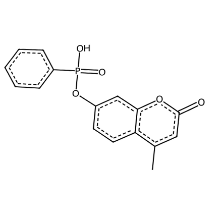 Cc1cc(=O)oc2cc(OP(=O)(O)c3ccccc3)ccc12